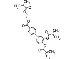 C=C(C)C(=O)OCCOC(=O)c1ccc(-c2ccc(OC(=O)C(=C)C)c(OC(=O)C(=C)C)c2)cc1